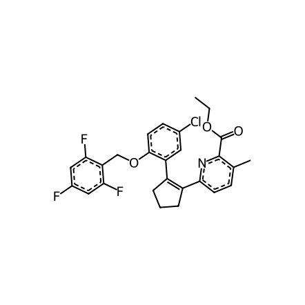 CCOC(=O)c1nc(C2=C(c3cc(Cl)ccc3OCc3c(F)cc(F)cc3F)CCC2)ccc1C